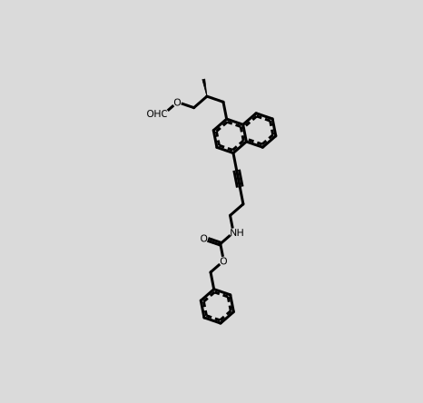 C[C@H](COC=O)Cc1ccc(C#CCCNC(=O)OCc2ccccc2)c2ccccc12